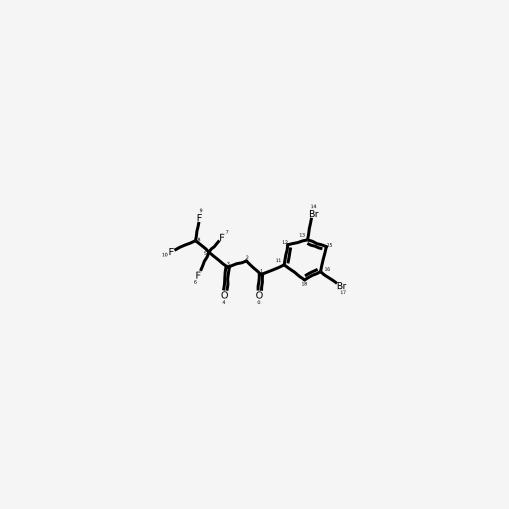 O=C(CC(=O)C(F)(F)C(F)F)c1cc(Br)cc(Br)c1